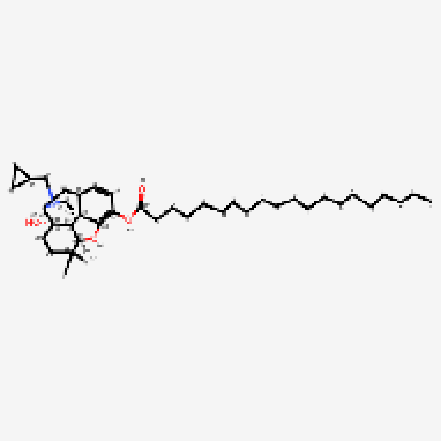 CCCCCCCCCCCCCCCCCCCC(=O)OC1=C2O[C@H]3C(C)(C)CC[C@@]4(O)C5CC(C=C1)C2[C@@]34CCN5CC1CC1